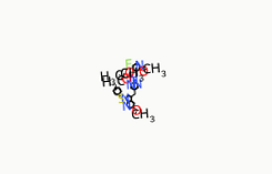 COc1cnc2c(c1)c(Cc1cnc(N(Cc3cc(F)cnc3OC)C(=O)OC(C)(C)C)nc1)cn2Sc1ccccc1